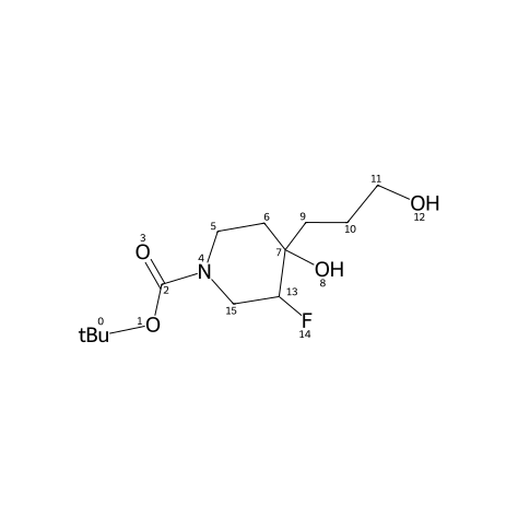 CC(C)(C)OC(=O)N1CCC(O)(CCCO)C(F)C1